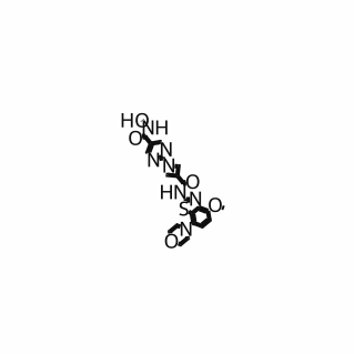 COc1ccc(N2CCOCC2)c2sc(NC(=O)C3CN(c4ncc(C(=O)NO)cn4)C3)nc12